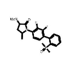 CNC1CC(C)N(c2ccc(-c3ccccc3P(C)(C)=O)c(F)c2F)C1=O